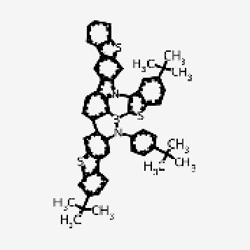 CC(C)(C)c1ccc(N2B3c4sc5ccc(C(C)(C)C)cc5c4-n4c5cc6sc7ccccc7c6cc5c5ccc(c3c54)-c3cc4sc5cc(C(C)(C)C)ccc5c4cc32)cc1